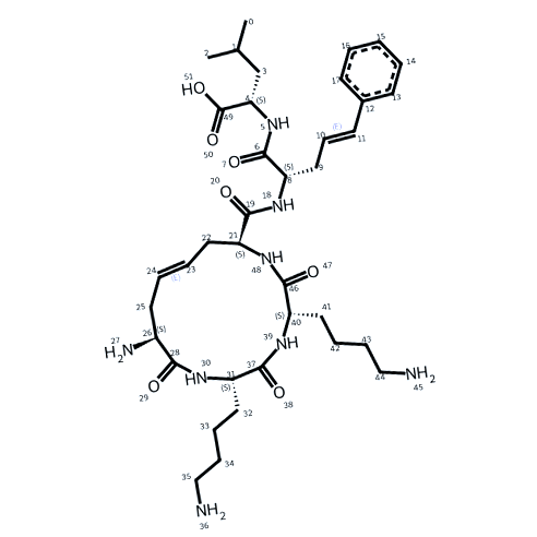 CC(C)C[C@H](NC(=O)[C@H](C/C=C/c1ccccc1)NC(=O)[C@@H]1C/C=C/C[C@H](N)C(=O)N[C@@H](CCCCN)C(=O)N[C@@H](CCCCN)C(=O)N1)C(=O)O